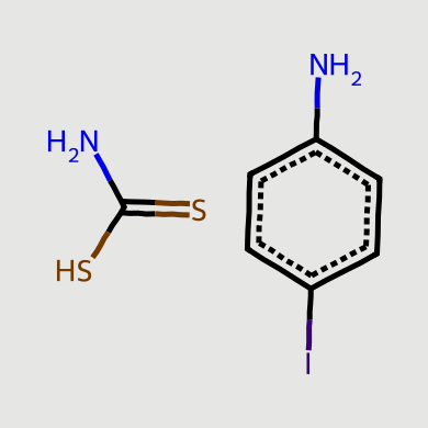 NC(=S)S.Nc1ccc(I)cc1